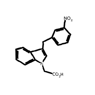 O=C(O)Cn1cc(Cc2cccc([N+](=O)[O-])c2)c2ccccc21